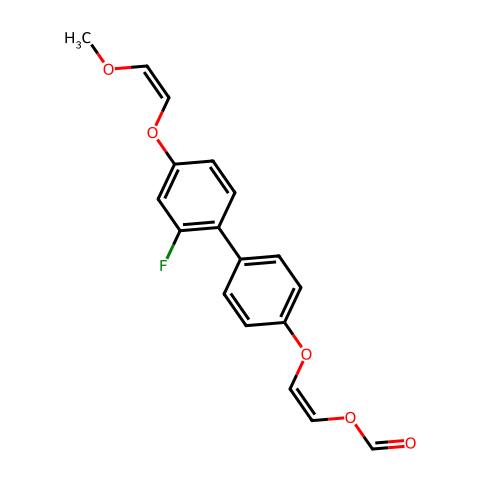 CO/C=C\Oc1ccc(-c2ccc(O/C=C\OC=O)cc2)c(F)c1